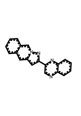 c1ccc2cn3nc(-c4cnc5ccccc5n4)cc3cc2c1